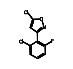 Fc1cccc(Cl)c1-c1cc(Cl)on1